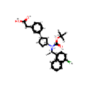 C[C@H](c1ccc(F)c2ccccc12)N(C(=O)OC(C)(C)C)[C@H]1CC[C@@H](c2cccc(CC(=O)O)c2)C1